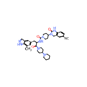 [C-]#[N+]c1ccc2c(c1)CN(C1CCN(C(=O)NC(Cc3cc(C)c4[nH]ncc4c3)C(=O)N3CCC(N4CCCCC4)CC3)CC1)C(=O)N2